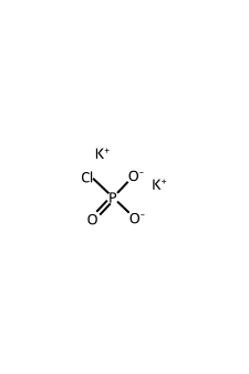 O=P([O-])([O-])Cl.[K+].[K+]